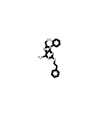 CCc1nc2c(N)nc(OCCc3ccccc3)nc2n1-c1ccccc1